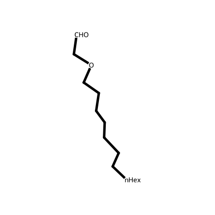 CCCCCCCCCCCCCOCC=O